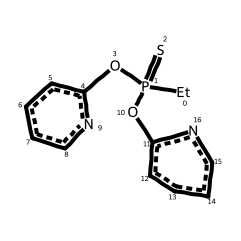 CCP(=S)(Oc1ccccn1)Oc1ccccn1